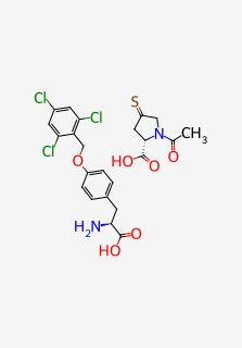 CC(=O)N1CC(=S)C[C@H]1C(=O)O.N[C@@H](Cc1ccc(OCc2c(Cl)cc(Cl)cc2Cl)cc1)C(=O)O